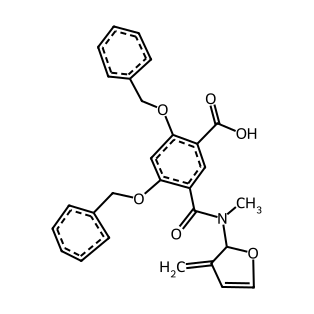 C=C1C=COC1N(C)C(=O)c1cc(C(=O)O)c(OCc2ccccc2)cc1OCc1ccccc1